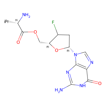 CC(C)[C@H](N)C(=O)OC[C@H]1O[C@@H](n2cnc3c(=O)[nH]c(N)nc32)CC1F